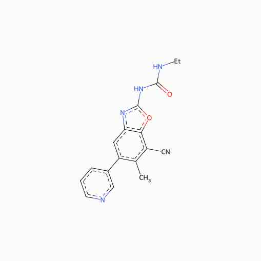 CCNC(=O)Nc1nc2cc(-c3cccnc3)c(C)c(C#N)c2o1